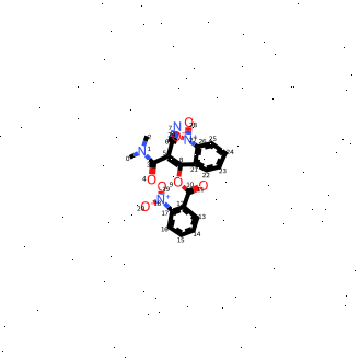 CN(C)C(=O)C(C#N)=C(OC(=O)c1ccccc1[N+](=O)[O-])c1ccccc1[N+](=O)[O-]